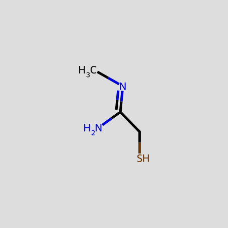 CN=C(N)CS